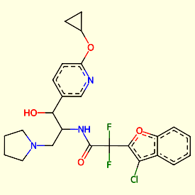 O=C(NC(CN1CCCC1)C(O)c1ccc(OC2CC2)nc1)C(F)(F)c1oc2ccccc2c1Cl